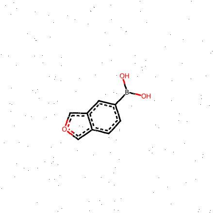 OB(O)c1ccc2cocc2c1